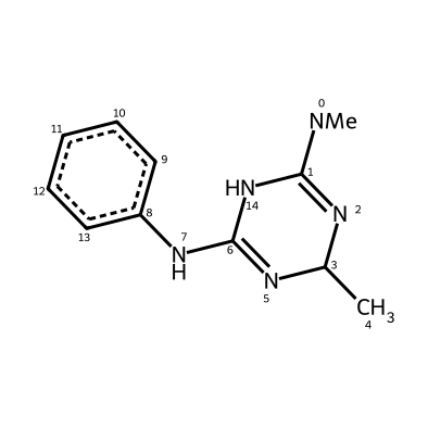 CNC1=NC(C)N=C(Nc2ccccc2)N1